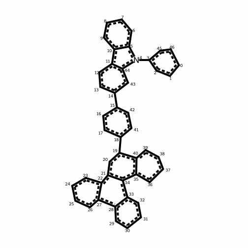 c1ccc(-n2c3ccccc3c3ccc(-c4ccc(-c5cc6c7ccccc7c7ccccc7c6c6ccccc56)cc4)cc32)cc1